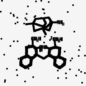 CC12CC3CC(C)(C1)CC(N)(C3)C2.O=C(O)c1cc2ccccc2c(Cc2c(O)c(C(=O)O)cc3ccccc23)c1O